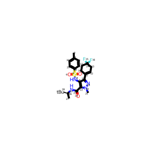 Cc1ccc(S(=O)(=O)Nc2c(C3=CCC(F)(F)CC3)nn(C)c2C(=O)N[C@@H](C)C(C)(C)C)cc1